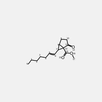 CCCCCC=CC1C2CCC(=O)C12C(=O)OC